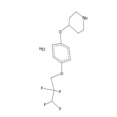 Cl.FC(F)C(F)(F)COc1ccc(OC2CCNCC2)cc1